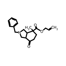 C=CCOC(=O)C1(C)CCC(=O)C2CN(Cc3ccccc3)CC21